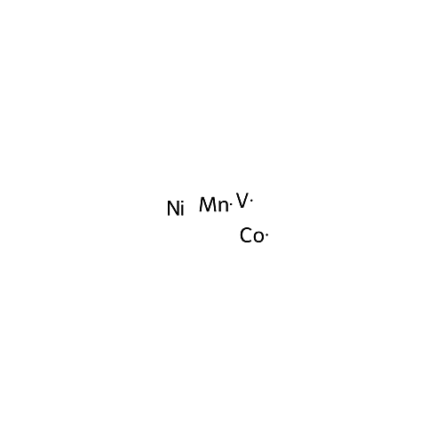 [Co].[Mn].[Ni].[V]